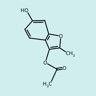 CC(=O)Oc1c(C)oc2cc(O)ccc12